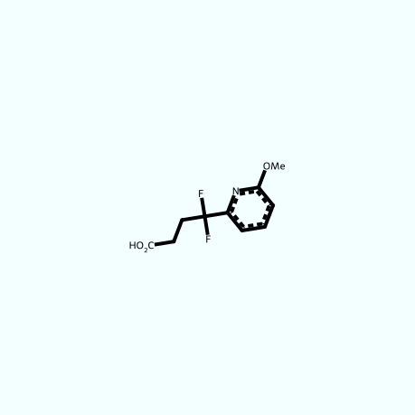 COc1cccc(C(F)(F)CCC(=O)O)n1